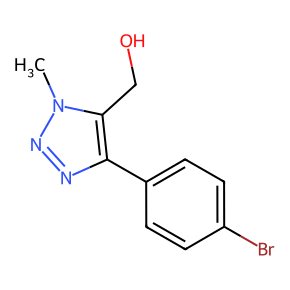 Cn1nnc(-c2ccc(Br)cc2)c1CO